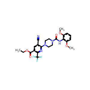 CCOC(=O)c1cc(C#N)c(N2CCN(C(=O)Nc3c(OC)cccc3OC)CC2)nc1C(F)(F)F